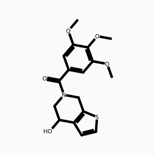 COc1cc(C(=O)N2Cc3sccc3C(O)C2)cc(OC)c1OC